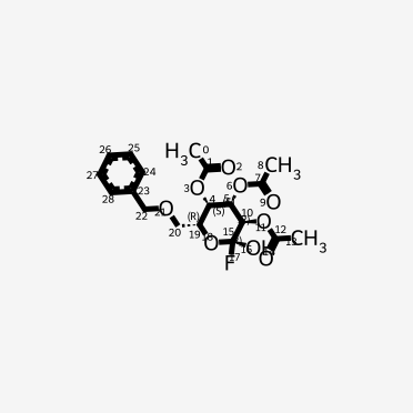 CC(=O)O[C@@H]1[C@H](OC(C)=O)[C@@H](OC(C)=O)[C@](O)(F)O[C@@H]1COCc1ccccc1